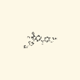 CCn1c(=O)c2cnc(Nc3ccc4c(c3)CCNC4)nc2n1-c1ccc(C(C)(C)C)o1